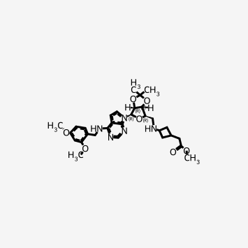 COC(=O)CC1CC(NC[C@H]2O[C@@H](n3ccc4c(NCc5ccc(OC)cc5OC)ncnc43)[C@@H]3OC(C)(C)O[C@@H]32)C1